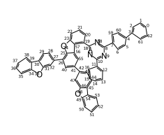 c1ccc(-c2ccc(-c3nc(-c4ccccc4)nc(-c4cccc5oc6c(-c7ccc8c(c7)oc7ccccc78)cc(-c7ccc8c(c7)oc7ccccc78)cc6c45)n3)cc2)cc1